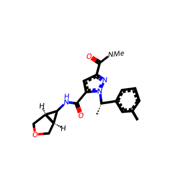 CNC(=O)c1cc(C(=O)NC2[C@H]3COC[C@@H]23)n([C@@H](C)c2cccc(C)c2)n1